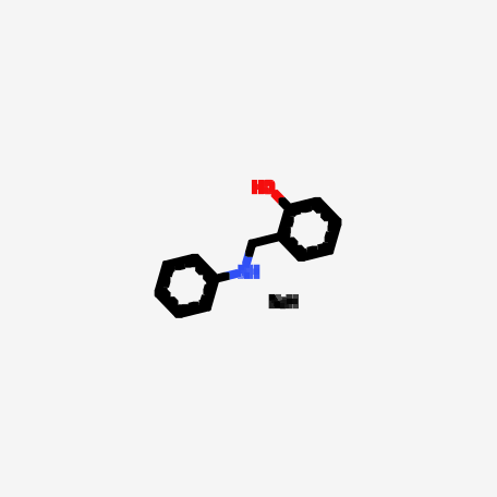 Oc1ccccc1CNc1ccccc1.[NaH]